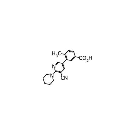 Cc1ccc(C(=O)O)cc1-c1cnc(N2CCCCC2)c(C#N)c1